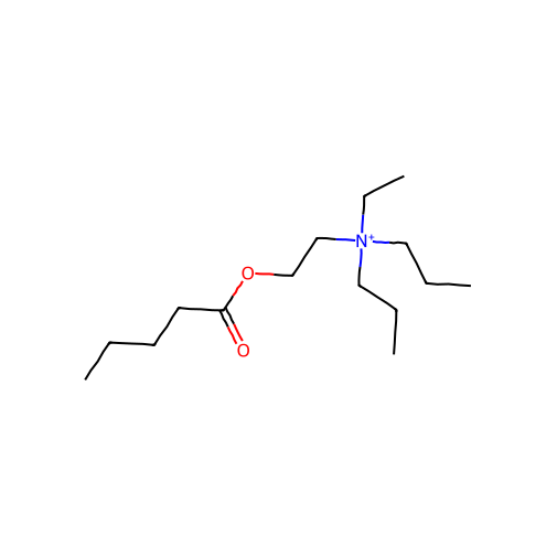 CCCCC(=O)OCC[N+](CC)(CCC)CCC